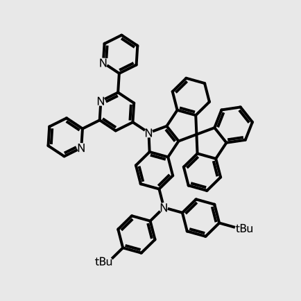 CC(C)(C)c1ccc(N(c2ccc(C(C)(C)C)cc2)c2ccc3c(c2)c2c(n3-c3cc(-c4ccccn4)nc(-c4ccccn4)c3)C3=C(CCC=C3)C23c2ccccc2-c2ccccc23)cc1